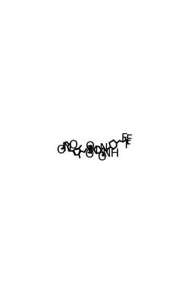 Cc1cc(CN2C(=O)CCC2=O)cc(C)c1CCS(=O)(=O)N1CCC2(CC1)N=C(C1CCC(CCC(F)(F)F)CC1)NC2=O